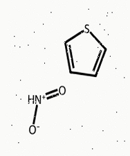 O=[NH+][O-].c1ccsc1